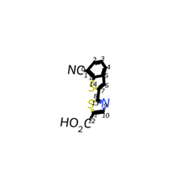 N#Cc1cccc2cc(-c3ncc(C(=O)O)s3)sc12